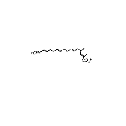 CCCCCCCCCCCCCCCCCCCCCC(C)C=C(C)C(=O)O